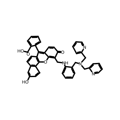 O=C(O)c1ccccc1-c1c2ccc(=O)c(CNc3ccccc3CN(Cc3ccccn3)Cc3ccccn3)c-2oc2c1ccc1cc(O)ccc12